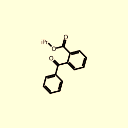 CC(C)OC(=O)c1ccccc1C(=O)c1ccccc1